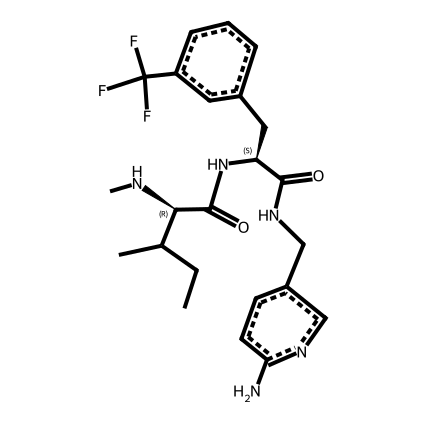 CCC(C)[C@@H](NC)C(=O)N[C@@H](Cc1cccc(C(F)(F)F)c1)C(=O)NCc1ccc(N)nc1